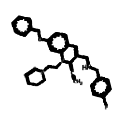 C=C=C1C(CNCc2ccc(F)cc2)=Cc2ccc(OCc3ccccc3)cc2N1CCN1CCCCC1